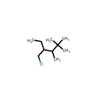 CCC(CCl)[C](C)C(C)(C)C